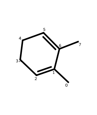 CC1=C[C]CC=C1C